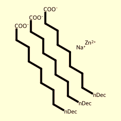 CCCCCCCCCCCCCCCCCC(=O)[O-].CCCCCCCCCCCCCCCCCC(=O)[O-].CCCCCCCCCCCCCCCCCC(=O)[O-].[Na+].[Zn+2]